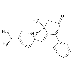 CN(C)c1ccc(C=C2C(c3ccccc3)=CC(=O)CC2(C)C)cc1